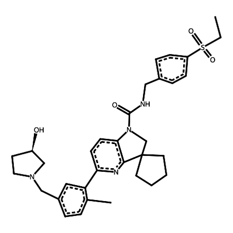 CCS(=O)(=O)c1ccc(CNC(=O)N2CC3(CCCC3)c3nc(-c4cc(CN5CC[C@@H](O)C5)ccc4C)ccc32)cc1